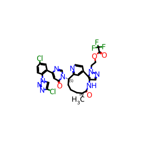 C[C@@H]1CCC[C@H](n2cnc(-c3cc(Cl)ccc3-n3cc(Cl)nn3)cc2=O)c2cc(ccn2)-c2c(cnn2CCOC(=O)C(F)(F)F)NC1=O